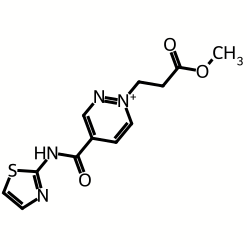 COC(=O)CC[n+]1ccc(C(=O)Nc2nccs2)cn1